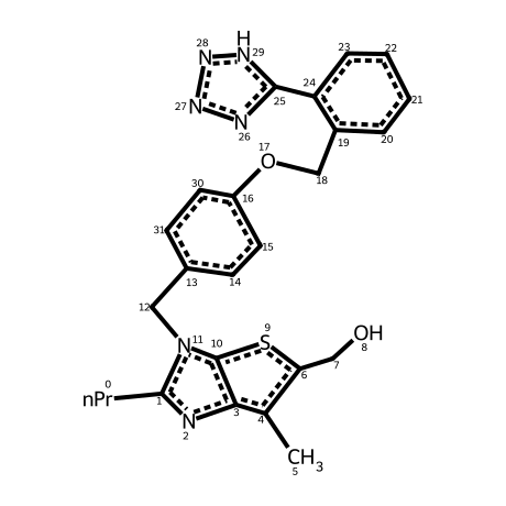 CCCc1nc2c(C)c(CO)sc2n1Cc1ccc(OCc2ccccc2-c2nnn[nH]2)cc1